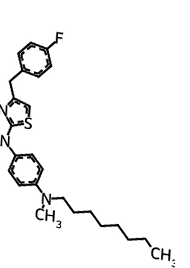 CCCCCCCCN(C)c1ccc(Nc2nc(Cc3ccc(F)cc3)cs2)cc1